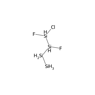 F[SiH](Cl)[SiH](F)[SiH2][SiH3]